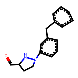 O=CC1CCN(c2cccc(Cc3ccccc3)c2)N1